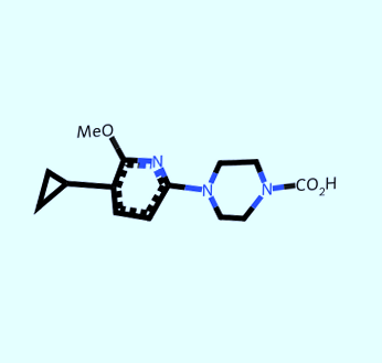 COc1nc(N2CCN(C(=O)O)CC2)ccc1C1CC1